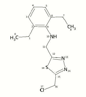 CCc1cccc(CC)c1NCc1nnc(CCl)s1